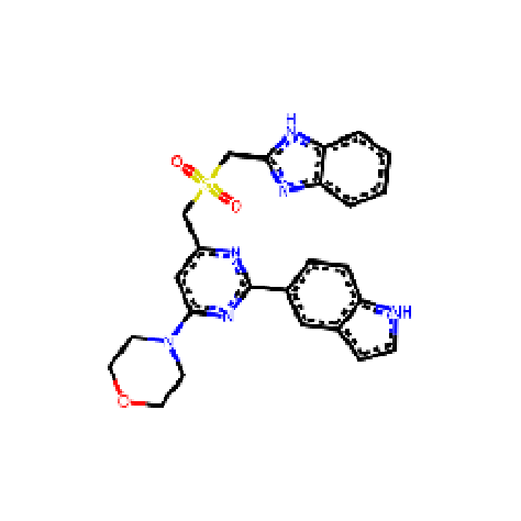 O=S(=O)(Cc1cc(N2CCOCC2)nc(-c2ccc3[nH]ccc3c2)n1)Cc1nc2ccccc2[nH]1